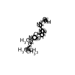 Cc1nc2ccc(Oc3ccc4ncc(-c5cnn(C[C@]67C[C@H](CO6)C7)c5)nc4c3Cl)cc2n1COCC[Si](C)(C)C